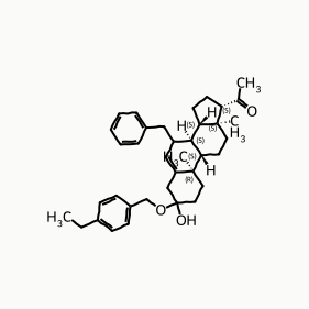 CCc1ccc(COC2(O)CC[C@@]3(C)C(=CC(Cc4ccccc4)[C@H]4[C@@H]5CC[C@H](C(C)=O)[C@@]5(C)CC[C@@H]43)C2)cc1